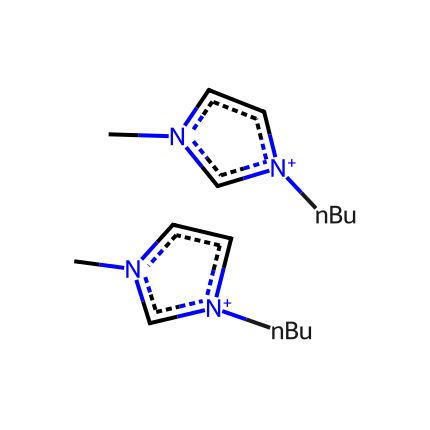 CCCC[n+]1ccn(C)c1.CCCC[n+]1ccn(C)c1